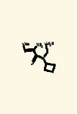 CN/C=C(\N)C(=O)N(CC(=O)O)C1CCC1